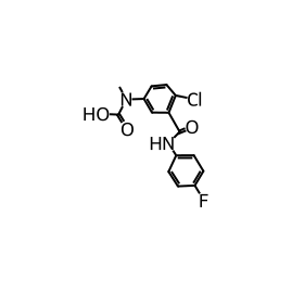 CN(C(=O)O)c1ccc(Cl)c(C(=O)Nc2ccc(F)cc2)c1